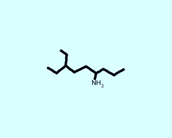 CCCC(N)CCC(CC)CC